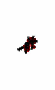 CCCCCCOc1c(OC(=O)CC)c(=O)oc2cc(O[C@@H]3O[C@H](COC(C)=O)[C@@H](OC(C)=O)[C@H](OC(C)=O)[C@H]3OC(C)=O)ccc12